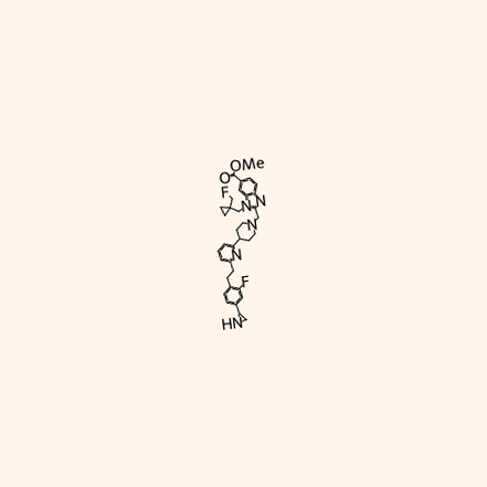 COC(=O)c1ccc2nc(CN3CCC(c4cccc(CCc5ccc(C6CN6)cc5F)n4)CC3)n(CC3(CF)CC3)c2c1